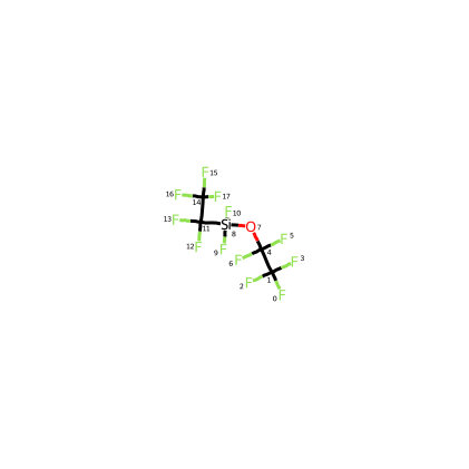 FC(F)(F)C(F)(F)O[Si](F)(F)C(F)(F)C(F)(F)F